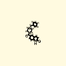 O=C(c1ccc2[nH]c(=O)ccc2c1)N1CCN(Cc2ccccc2)CC1